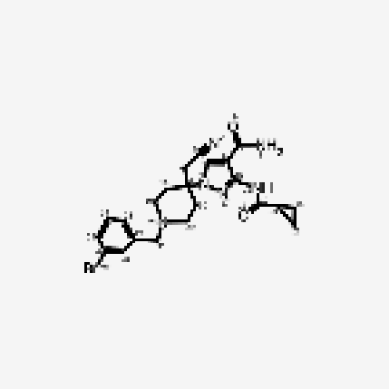 N#CCC1(n2cc(C(N)=O)c(NC(=O)C3CC3)n2)CCN(Cc2cccc(Br)c2)CC1